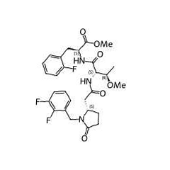 COC(=O)[C@H](Cc1ccccc1F)NC(=O)[C@@H](NC(=O)C[C@@H]1CCC(=O)N1Cc1cccc(F)c1F)[C@@H](C)OC